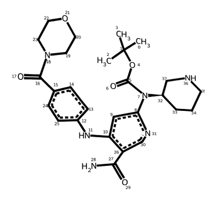 CC(C)(C)OC(=O)N(c1cc(Nc2ccc(C(=O)N3CCOCC3)cc2)c(C(N)=O)cn1)[C@@H]1CCCNC1